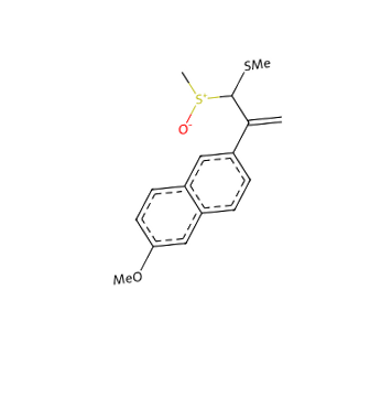 C=C(c1ccc2cc(OC)ccc2c1)C(SC)[S+](C)[O-]